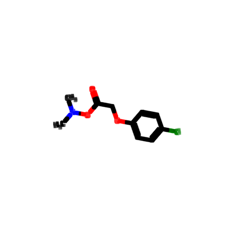 CN(C)OC(=O)COc1ccc(Cl)cc1